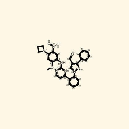 COc1cc(N2CCC2)c([N+](=O)[O-])cc1Nc1nccc(-c2ccccc2-n2cc(C=O)c(-c3ccccc3)n2)n1